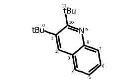 CC(C)(C)c1cc2ccccc2nc1C(C)(C)C